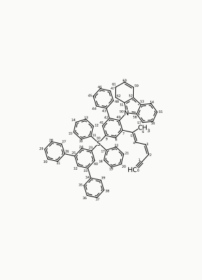 C#C/C=C\C=C(/C)c1cc(S(c2ccccc2)(c2ccccc2)c2cc(-c3ccccc3)cc(-c3ccccc3)c2)cc(-c2ccccc2)c1-n1c2c(c3ccccc31)C=CCC2